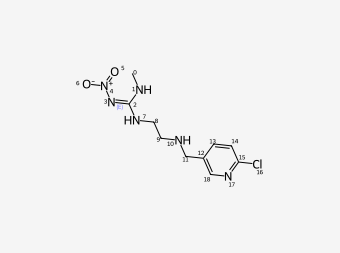 CN/C(=N\[N+](=O)[O-])NCCNCc1ccc(Cl)nc1